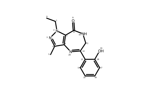 CCn1nc(C)c2c1C(=O)NCC(c1ccccc1O)=N2